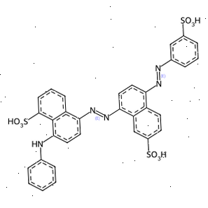 O=S(=O)(O)c1cccc(/N=N/c2ccc(/N=N/c3ccc(Nc4ccccc4)c4c(S(=O)(=O)O)cccc34)c3cc(S(=O)(=O)O)ccc23)c1